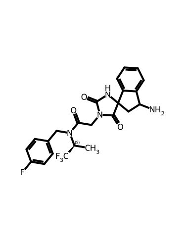 C[C@H](N(Cc1ccc(F)cc1)C(=O)CN1C(=O)NC2(CC(N)c3ccccc32)C1=O)C(F)(F)F